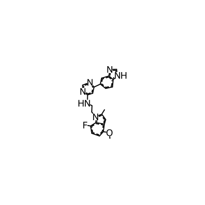 COc1ccc(F)c2c1cc(C)n2CCNc1cc(-c2ccc3[nH]cnc3c2)ncn1